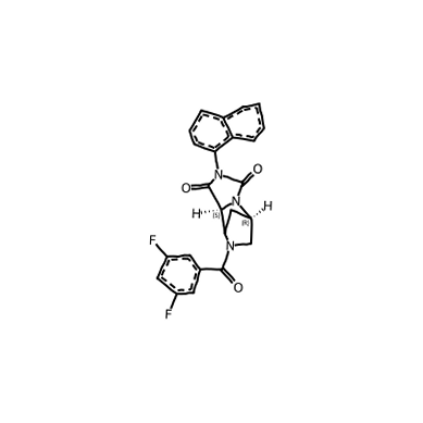 O=C1[C@@H]2C3C[C@H](CN3C(=O)c3cc(F)cc(F)c3)N2C(=O)N1c1cccc2ccccc12